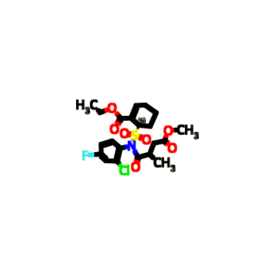 CCOC(=O)C1=CCCC[C@@H]1S(=O)(=O)N(C(=O)C(C)CC(=O)OC)c1ccc(F)cc1Cl